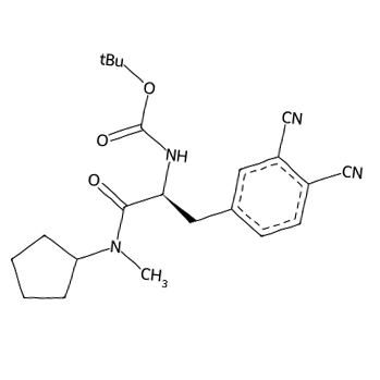 CN(C(=O)[C@H](Cc1ccc(C#N)c(C#N)c1)NC(=O)OC(C)(C)C)C1CCCC1